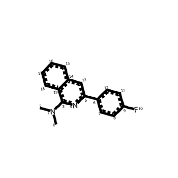 CN(C)c1nc(-c2ccc(F)cc2)cc2ccccc12